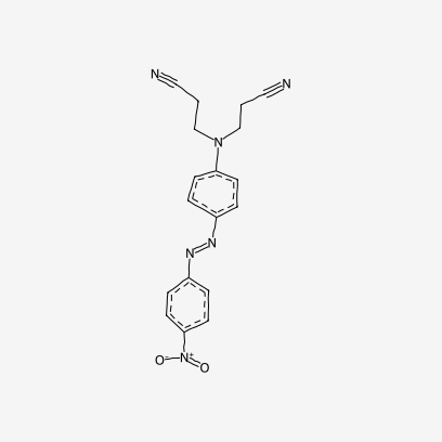 N#CCCN(CCC#N)c1ccc(N=Nc2ccc([N+](=O)[O-])cc2)cc1